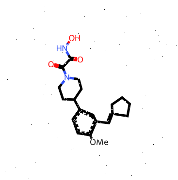 COc1ccc(C2CCN(C(=O)C(=O)NO)CC2)cc1C=C1CCCC1